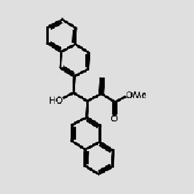 C=C(C(=O)OC)C(c1ccc2ccccc2c1)C(O)c1ccc2ccccc2c1